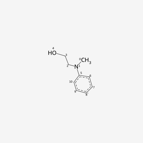 CN(CCO)c1cc[c]cc1